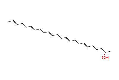 CC=CCCC=CCCC=CCCC=CCCC=CCCCC(C)O